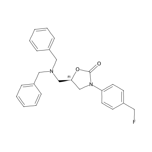 O=C1O[C@H](CN(Cc2ccccc2)Cc2ccccc2)CN1c1ccc(CF)cc1